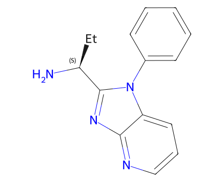 CC[C@H](N)c1nc2ncccc2n1-c1ccccc1